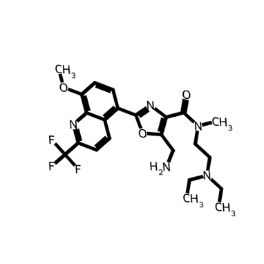 CCN(CC)CCN(C)C(=O)c1nc(-c2ccc(OC)c3nc(C(F)(F)F)ccc23)oc1CN